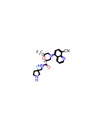 N#Cc1ccc(N2C[C@@H](C(F)(F)F)O[C@@H](C(=O)NCC3(F)CCNC3)C2)c2cccnc12